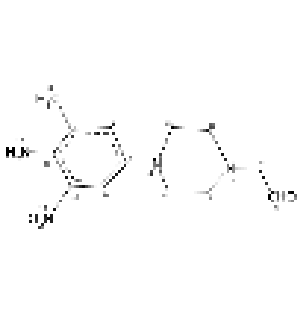 Cc1cc(N2CCN(CC=O)CC2)cc([N+](=O)[O-])c1N